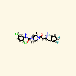 N[C@@H](CC(=O)N1C[C@@H]2C[C@H]1CN2C(=O)Nc1cc(Cl)ccc1Cl)Cc1cc(F)c(F)cc1F